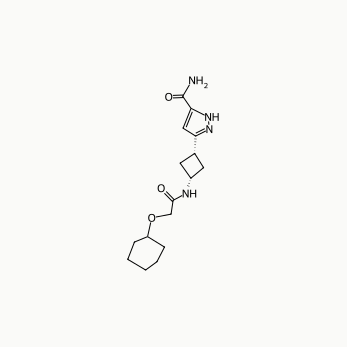 NC(=O)c1cc([C@H]2C[C@@H](NC(=O)COC3CCCCC3)C2)n[nH]1